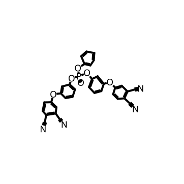 N#Cc1ccc(Oc2cccc(OP(=O)(Oc3ccccc3)Oc3cccc(Oc4ccc(C#N)c(C#N)c4)c3)c2)cc1C#N